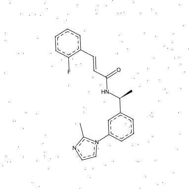 Cc1nccn1-c1cccc([C@H](C)NC(=O)/C=C/c2ccccc2F)c1